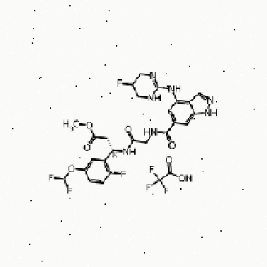 COC(=O)C[C@H](NC(=O)CNC(=O)c1cc(NC2=NCC(F)CN2)c2cn[nH]c2c1)c1cc(OC(F)F)ccc1F.O=C(O)C(F)(F)F